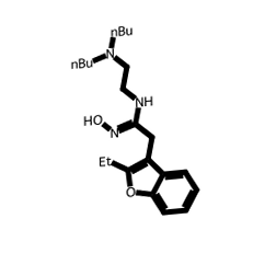 CCCCN(CCCC)CCNC(Cc1c(CC)oc2ccccc12)=NO